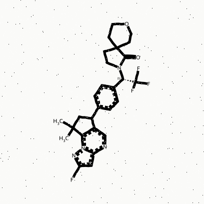 CC1(C)CC(c2ccc([C@H](N3CCC4(CCOCC4)C3=O)C(F)(F)F)cc2)c2cnc3cc(F)nn3c21